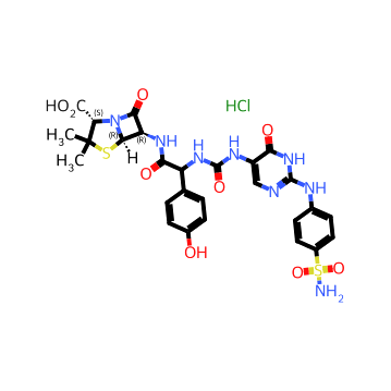 CC1(C)S[C@@H]2[C@H](NC(=O)C(NC(=O)Nc3cnc(Nc4ccc(S(N)(=O)=O)cc4)[nH]c3=O)c3ccc(O)cc3)C(=O)N2[C@H]1C(=O)O.Cl